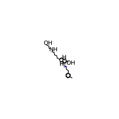 Cc1cccc(CC/C=C/[C@@H]2[C@H]3CC(CCCCCNCCCO)=C[C@H]3C[C@H]2O)c1